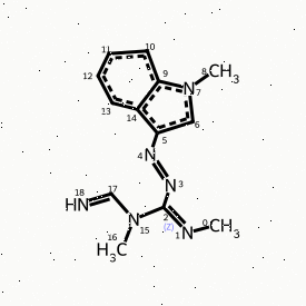 C/N=C(\N=Nc1cn(C)c2ccccc12)N(C)C=N